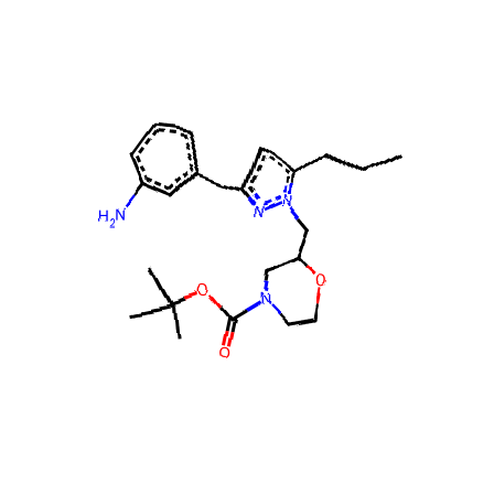 CCCc1cc(-c2cccc(N)c2)nn1CC1CN(C(=O)OC(C)(C)C)CCO1